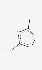 CCCCCc1noc(C(=O)O)n1